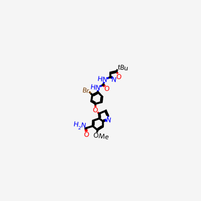 COc1cc2nccc(Oc3ccc(NC(=O)Nc4cc(C(C)(C)C)on4)c(Br)c3)c2cc1C(N)=O